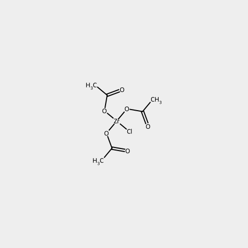 CC(=O)[O][Zr]([Cl])([O]C(C)=O)[O]C(C)=O